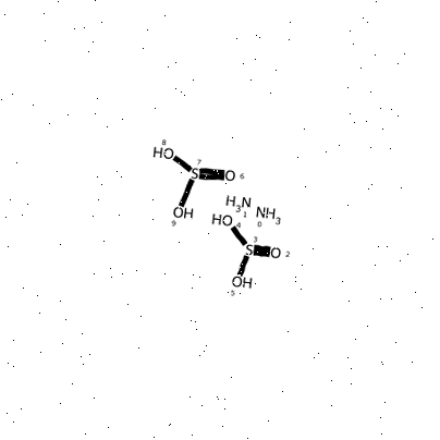 N.N.O=S(O)O.O=S(O)O